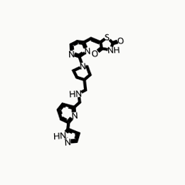 O=C1NC(=O)/C(=C\c2ccnc(N3CCC(CNCc4cccc(-c5ccn[nH]5)n4)CC3)n2)S1